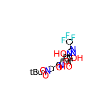 CC(C)(C)OC(=O)N1CCC(c2cc(C[C@H]3O[C@H](CO)[C@H](O)[C@H](n4cc(-c5cc(F)c(F)c(F)c5)nn4)[C@H]3O)no2)CC1